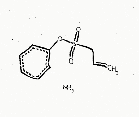 C=CCS(=O)(=O)Oc1ccccc1.N